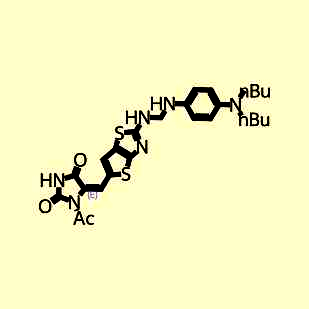 CCCCN(CCCC)c1ccc(NCNc2nc3sc(/C=C4\C(=O)NC(=O)N4C(C)=O)cc3s2)cc1